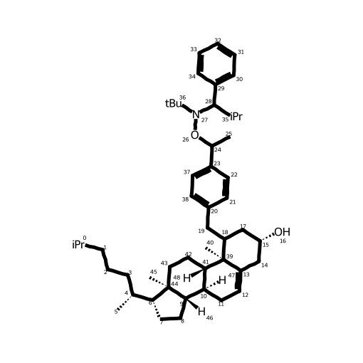 CC(C)CCC[C@@H](C)[C@H]1CC[C@H]2[C@@H]3CC=C4C[C@@H](O)CC(Cc5ccc(C(C)ON(C(c6ccccc6)C(C)C)C(C)(C)C)cc5)[C@]4(C)[C@H]3CC[C@]12C